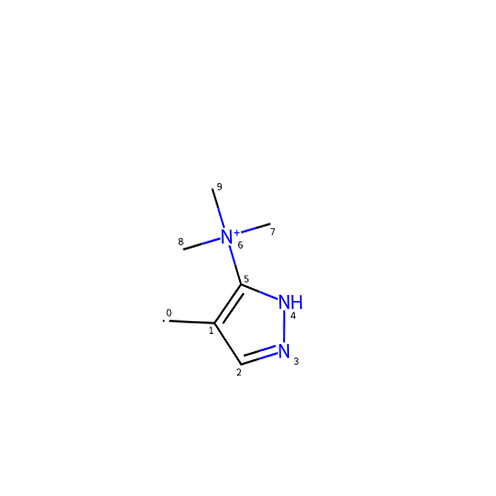 [CH2]c1cn[nH]c1[N+](C)(C)C